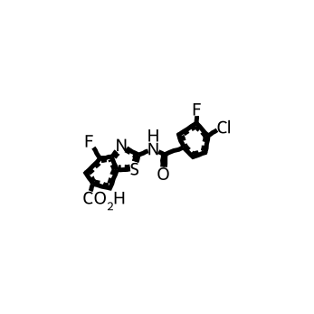 O=C(O)c1cc(F)c2nc(NC(=O)c3ccc(Cl)c(F)c3)sc2c1